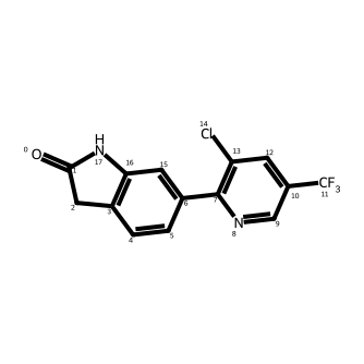 O=C1Cc2ccc(-c3ncc(C(F)(F)F)cc3Cl)cc2N1